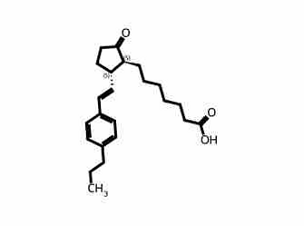 CCCc1ccc(C=C[C@@H]2CCC(=O)[C@H]2CCCCCCC(=O)O)cc1